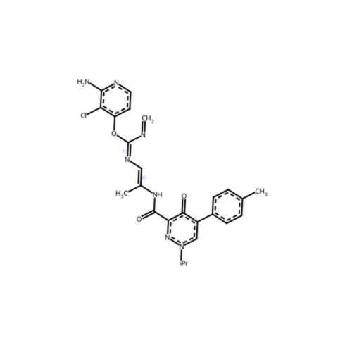 C=N/C(=N\C=C(/C)NC(=O)c1nn(C(C)C)cc(-c2ccc(C)cc2)c1=O)Oc1ccnc(N)c1Cl